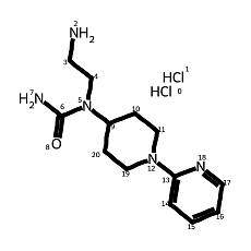 Cl.Cl.NCCN(C(N)=O)C1CCN(c2ccccn2)CC1